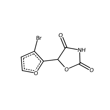 O=C1NC(=O)C(c2occc2Br)O1